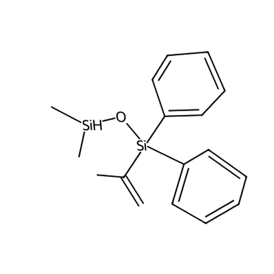 C=C(C)[Si](O[SiH](C)C)(c1ccccc1)c1ccccc1